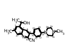 Cc1cc(C(C)O)c2cc(-c3ccc(N4CCN(C)CC4)cc3)c(C#N)nc2c1